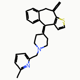 C=C1Cc2ccccc2C(=C2CCN(Cc3cccc(C)n3)CC2)c2ccsc21